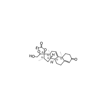 CCC(=O)O[C@]1(C(=O)CO)[C@@H](C)C[C@H]2[C@@H]3CCC4=CC(=O)CC[C@]4(C)C3=CC[C@@]21C